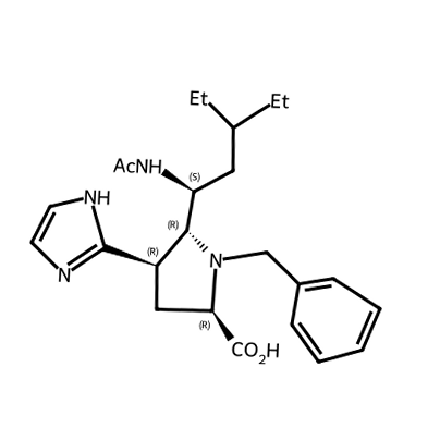 CCC(CC)C[C@H](NC(C)=O)[C@H]1[C@H](c2ncc[nH]2)C[C@H](C(=O)O)N1Cc1ccccc1